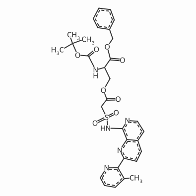 Cc1cccnc1-c1ccc2ccnc(NS(=O)(=O)CC(=O)OCC(NC(=O)OC(C)(C)C)C(=O)OCc3ccccc3)c2n1